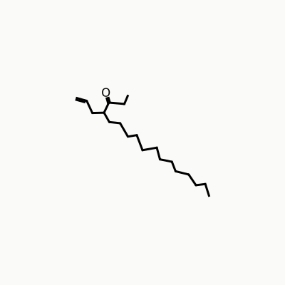 C=CCC(CCCCCCCCCCCCC)C(=O)CC